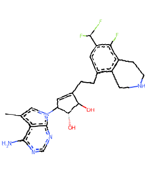 Cc1cn(C2C=C(CCc3cc(C(F)F)c(F)c4c3CNCC4)C(O)[C@@H]2O)c2ncnc(N)c12